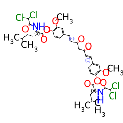 COc1cc(/C=C/C(=O)CC(=O)/C=C/c2ccc(OC(=O)[C@H](CC(C)C)NC(=O)C(Cl)Cl)c(OC)c2)ccc1OC(=O)[C@H](CCC(C)C)NC(=O)C(Cl)Cl